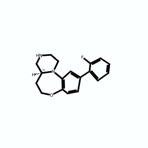 Fc1ccccc1-c1ccc2c(c1)N1CCNC[C@@H]1CCO2